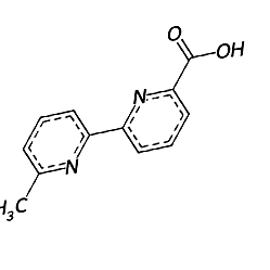 Cc1cccc(-c2cccc(C(=O)O)n2)n1